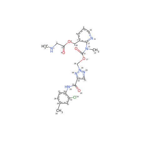 CNCC(=O)OCc1cccnc1N(C)C(=O)OCn1ncc(C(=O)Nc2ccc(C)cc2Cl)n1